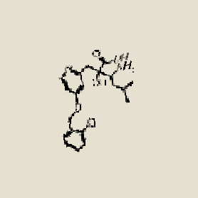 CC(C)C[C@H](N)[C@](O)(Cc1cc(OCc2ccccc2Cl)ccn1)C(=O)O